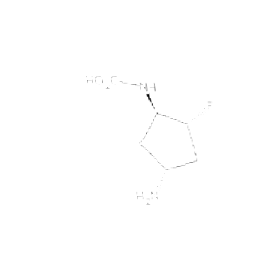 N[C@H]1C[C@@H](F)[C@H](NC(=O)O)C1